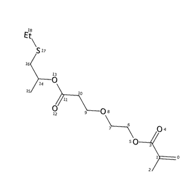 C=C(C)C(=O)OCCOCCC(=O)OC(C)CSCC